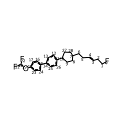 FCCC=CCCC1CCC(c2ccc(-c3ccc(OC(F)F)cc3)cc2)CC1